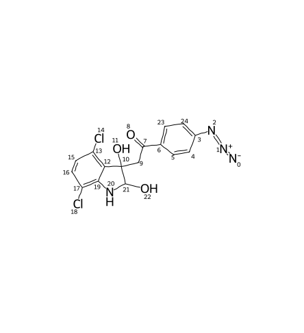 [N-]=[N+]=Nc1ccc(C(=O)CC2(O)c3c(Cl)ccc(Cl)c3NC2O)cc1